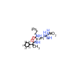 CC(C)C[CH]NC(=O)[C@H](CCCNC(=N)N[N+](=O)[O-])NC(=O)[C@@H](C)c1ccccc1